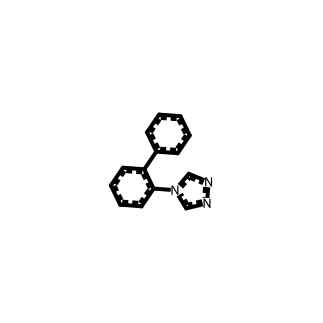 c1ccc(-c2ccccc2-n2cnnc2)cc1